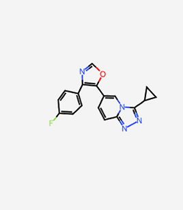 Fc1ccc(-c2ncoc2-c2ccc3nnc(C4CC4)n3c2)cc1